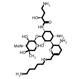 CN[C@@H]1[C@@H](O)[C@@H](O[C@@H]2[C@@H](O)[C@H](C3OC(CNCCCCCN)=CC[C@H]3N)[C@@H](N)C[C@H]2NC(=O)[C@@H](O)CCN)OC[C@]1(C)O